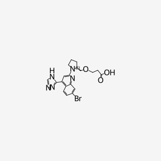 O=C(O)CCOC[C@@H]1CCCN1c1cc(-c2nnc[nH]2)c2ccc(Br)cc2n1